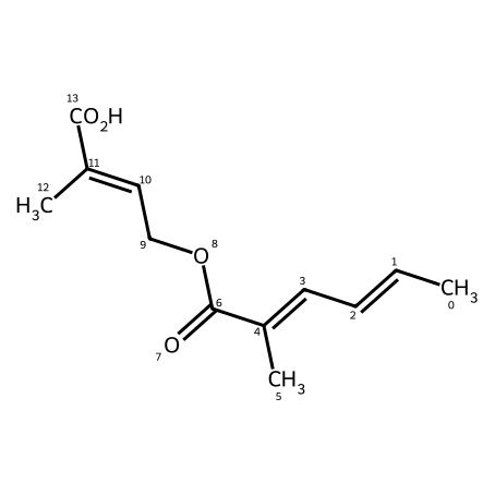 CC=CC=C(C)C(=O)OCC=C(C)C(=O)O